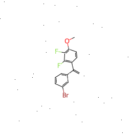 C=C(c1cccc(Br)c1)c1ccc(OC)c(F)c1F